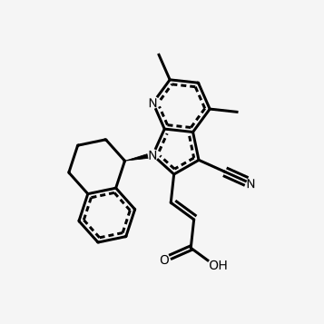 Cc1cc(C)c2c(C#N)c(C=CC(=O)O)n([C@@H]3CCCc4ccccc43)c2n1